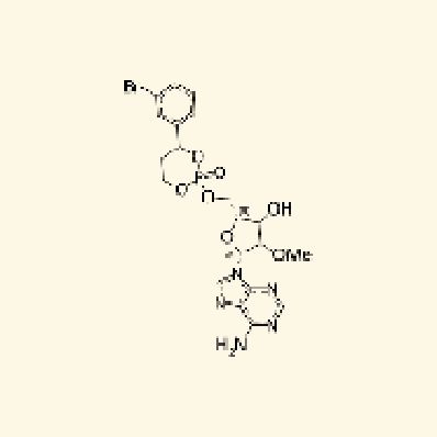 COC1C(O)[C@@H](COP2(=O)OCCC(c3cccc(Br)c3)O2)O[C@H]1n1cnc2c(N)ncnc21